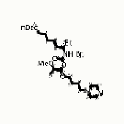 CCCCCCCCCCCCCCCC(CC)NC(=O)OC(OCCCC[n+]1ccncc1)C(C)OC.[Br-]